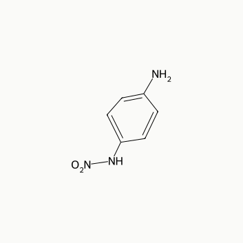 Nc1ccc(N[N+](=O)[O-])cc1